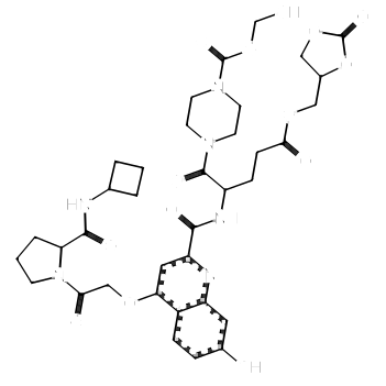 CCOC(=O)N1CCN(C(=O)C(CCC(=O)OCC2COC(=O)O2)NC(=O)c2cc(OCC(=O)N3CCCC3C(=O)NC3CCC3)c3ccc(C)cc3n2)CC1